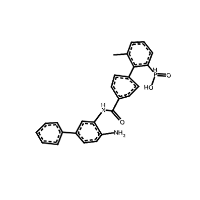 Cc1cccc([PH](=O)O)c1-c1ccc(C(=O)Nc2cc(-c3ccccc3)ccc2N)cc1